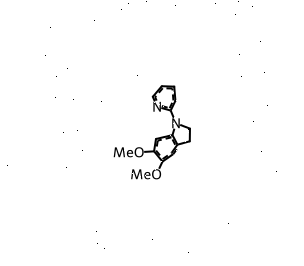 COc1cc2c(cc1OC)N(c1ccccn1)CC2